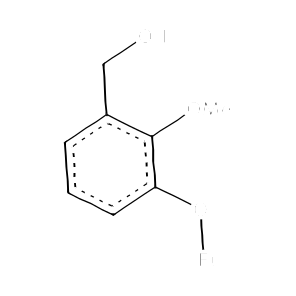 CCOc1cccc(CO)c1OC